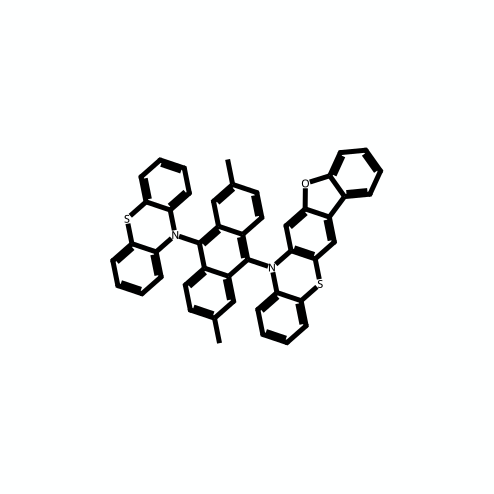 Cc1ccc2c(N3c4ccccc4Sc4cc5c(cc43)oc3ccccc35)c3cc(C)ccc3c(N3c4ccccc4Sc4ccccc43)c2c1